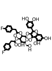 O=C(Cc1ccc(F)cc1)OC1C(OC(=O)Cc2ccc(F)cc2)[C@H](O)[C@@H](CO)O[C@H]1Oc1c(-c2ccc(O)c(O)c2)oc2cc(O)cc(O)c2c1=O